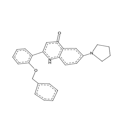 O=c1cc(-c2ccccc2OCc2ccccc2)[nH]c2ccc(N3CCCC3)cc12